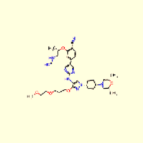 COCCOCCCOc1nn([C@H]2CC[C@H](N3C[C@@H](C)O[C@@H](C)C3)CC2)cc1Nc1ncc(-c2ccc(C#N)c(O[C@@H](C)CNC=N)c2)cn1